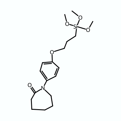 CO[Si](CCCOc1ccc(N2CCCCCC2=O)cc1)(OC)OC